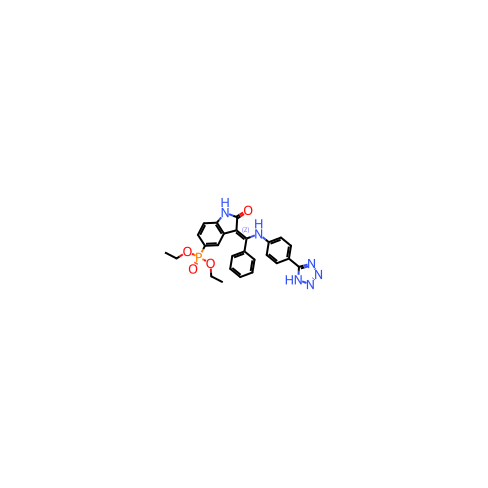 CCOP(=O)(OCC)c1ccc2c(c1)/C(=C(/Nc1ccc(-c3nnn[nH]3)cc1)c1ccccc1)C(=O)N2